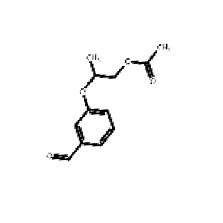 CC(=O)OCC(C)Oc1cccc(C=O)c1